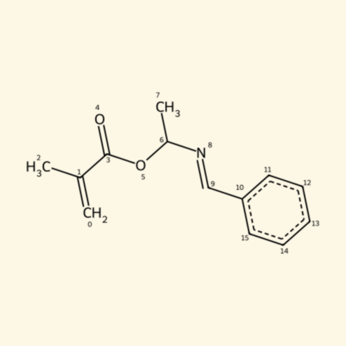 C=C(C)C(=O)OC(C)/N=C/c1ccccc1